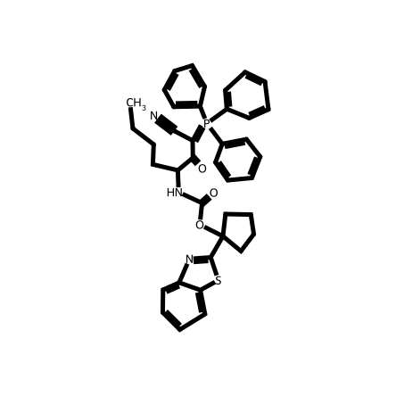 CCCCC(NC(=O)OC1(c2nc3ccccc3s2)CCCC1)C(=O)C(C#N)=P(c1ccccc1)(c1ccccc1)c1ccccc1